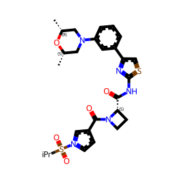 CC(C)S(=O)(=O)n1ccc(C(=O)N2CC[C@H]2C(=O)Nc2nc(-c3cccc(N4C[C@@H](C)O[C@@H](C)C4)c3)cs2)c1